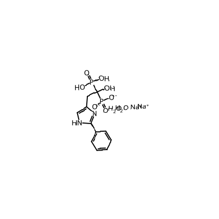 O.O.O=P([O-])([O-])C(O)(Cc1c[nH]c(-c2ccccc2)n1)P(=O)(O)O.[Na+].[Na+]